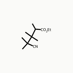 CCOC(=O)C(C)C(C)(C)C(C)(C)C#N